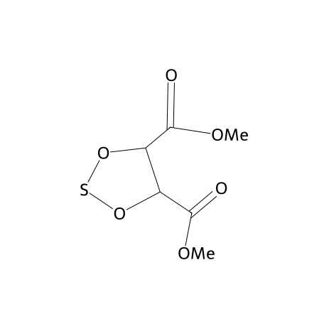 COC(=O)C1OSOC1C(=O)OC